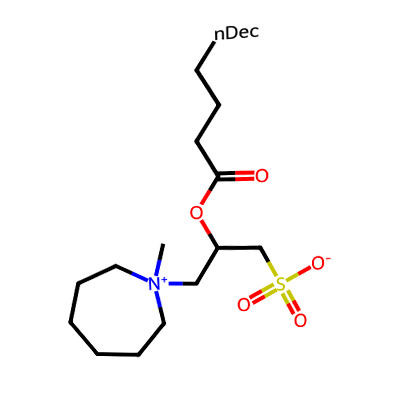 CCCCCCCCCCCCCC(=O)OC(C[N+]1(C)CCCCCC1)CS(=O)(=O)[O-]